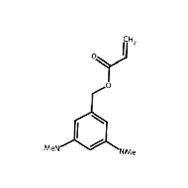 C=CC(=O)OCc1cc(NC)cc(NC)c1